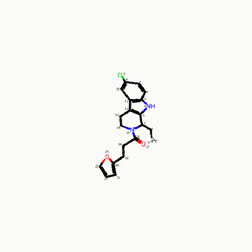 CC(C)CC1c2[nH]c3ccc(Cl)cc3c2CCN1C(=O)CCc1ccco1